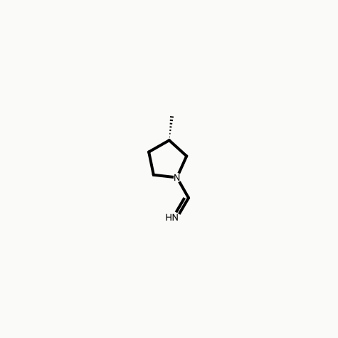 C[C@H]1CCN(C=N)C1